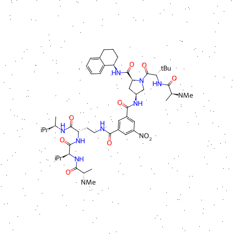 CN[C@@H](C)C(=O)N[C@H](C(=O)N[C@@H](CCNC(=O)c1cc(C(=O)N[C@H]2C[C@@H](C(=O)N[C@@H]3CCCc4ccccc43)N(C(=O)[C@@H](NC(=O)[C@H](C)NC)C(C)(C)C)C2)cc([N+](=O)[O-])c1)C(=O)N[C@H](C)C(C)C)C(C)C